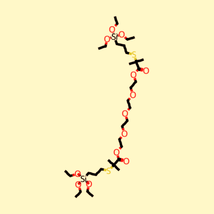 CCO[Si](CCCSC(C)(C)C(=O)OCCOCCOCCOCCOC(=O)C(C)(C)SCCC[Si](OCC)(OCC)OCC)(OCC)OCC